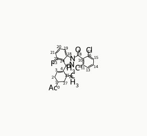 CC(=O)C1CC=C(c2nn(C(=O)c3c(C)cccc3Cl)c3cccc(F)c23)C(C)C1